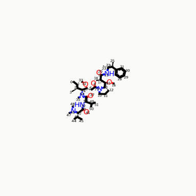 CC[C@H](C)[C@@H]([C@@H](CC(=O)N1CCC[C@H]1[C@H](OC)[C@@H](C)C(=O)N[C@H](C)[C@@H](C)c1ccccc1)OC)N(C)C(=O)[C@@H](NC(=O)[C@H](C(C)C)N(C)C)C(C)C